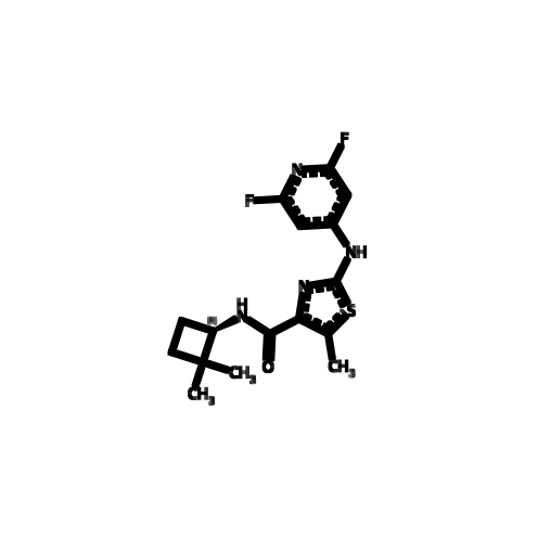 Cc1sc(Nc2cc(F)nc(F)c2)nc1C(=O)N[C@@H]1CCC1(C)C